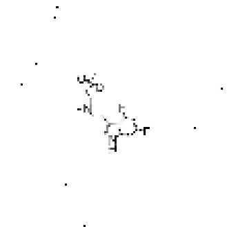 CN(CCc1c[nH]c2cc(F)cc(F)c12)CCS(C)(=O)=O